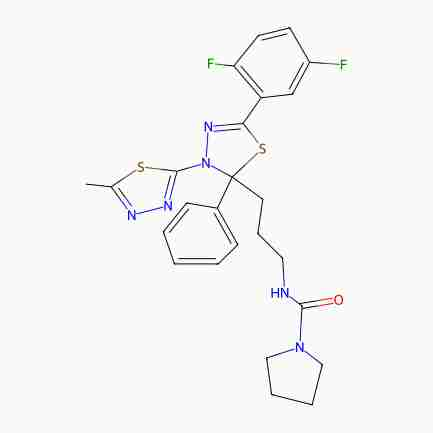 Cc1nnc(N2N=C(c3cc(F)ccc3F)SC2(CCCNC(=O)N2CCCC2)c2ccccc2)s1